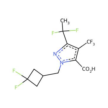 CC(F)(F)c1nn(CC2CC(F)(F)C2)c(C(=O)O)c1C(F)(F)F